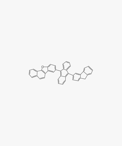 c1ccc2c(c1)Cc1ccc(-c3c4ccccc4c(-c4ccc5oc6c7ccccc7ccc6c5c4)c4ccccc34)cc1-2